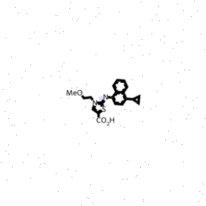 COCCn1cc(C(=O)O)s/c1=N\c1ccc(C2CC2)c2ccccc12